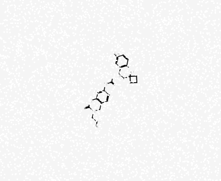 O=C(Nc1ccc2c(c1)NC(=O)N(CCO)C2)N[C@H]1CC2(CCC2)Oc2ccc(F)cc21